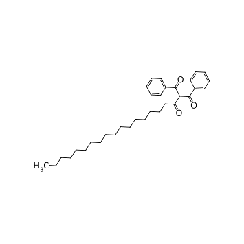 CCCCCCCCCCCCCCCCCC(=O)C(C(=O)c1ccccc1)C(=O)c1ccccc1